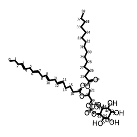 CCC/C=C/C/C=C/C/C=C/C/C=C/CCCC(=O)OC(COC(=O)CCCCCCCCCCCCCC)COP(=O)(O)OC1C(O)C(O)C(O)C(O)C1O